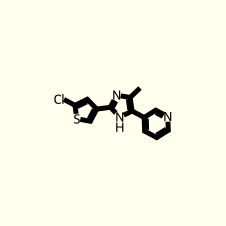 Cc1nc(-c2csc(Cl)c2)[nH]c1-c1cccnc1